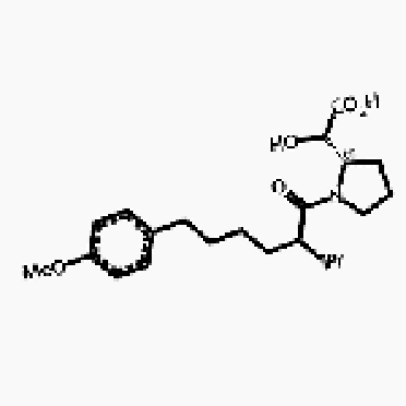 COc1ccc(CCCCC(C(=O)N2CCC[C@H]2C(O)C(=O)O)C(C)C)cc1